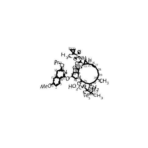 COc1ccc2c(O[C@@H]3C[C@H]4C(=O)N[C@]5(C(=O)NS(=O)(=O)C6(C)CC6)C[C@H]5/C=C\CC[C@@H](C)C[C@@H](C)[C@H](N(C(=O)O)C(C)(C)C(C)(F)F)C(=O)N4C3)nc(OC(C)C)cc2c1